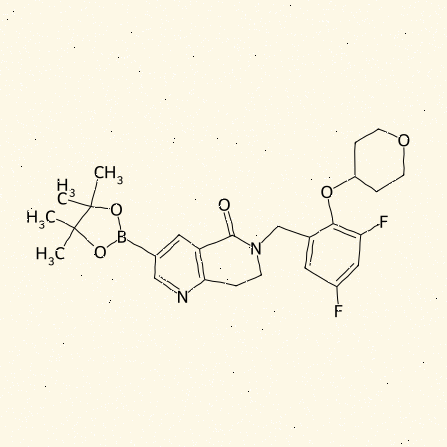 CC1(C)OB(c2cnc3c(c2)C(=O)N(Cc2cc(F)cc(F)c2OC2CCOCC2)CC3)OC1(C)C